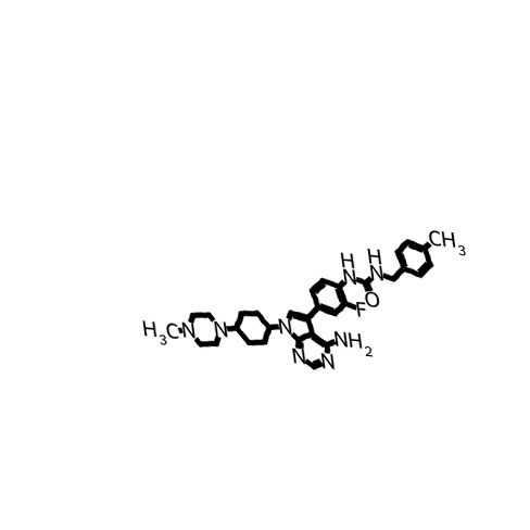 Cc1ccc(CNC(=O)Nc2ccc(-c3cn(C4CCC(N5CCN(C)CC5)CC4)c4ncnc(N)c34)cc2F)cc1